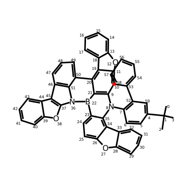 CC(C)(C)c1ccc(N2c3cc4oc5ccccc5c4c4c3B(c3ccc5oc6ccccc6c5c32)n2c3oc5ccccc5c3c3cccc-4c32)c(-c2ccccc2)c1